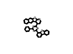 c1ccc(-c2nc(-c3cccc4c3oc3ccccc34)nc(-c3ccnc4oc5cc6ccccc6cc5c34)n2)cc1